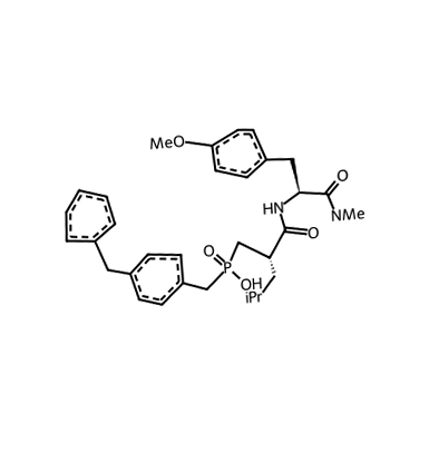 CNC(=O)[C@H](Cc1ccc(OC)cc1)NC(=O)[C@H](CC(C)C)CP(=O)(O)Cc1ccc(Cc2ccccc2)cc1